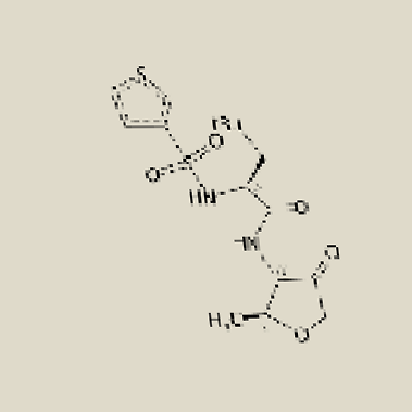 C[C@@H]1OCC(=O)[C@H]1NC(=O)[C@H](CC(C)(C)C)NS(=O)(=O)c1ccsc1